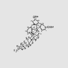 COc1ccc(S(OS(=O)(=O)C(F)(F)C(F)(F)C(F)(F)C(F)(F)C(F)(F)C(F)(F)C(F)(F)C(F)(F)F)(c2ccccc2)c2ccc(OC)cc2)cc1